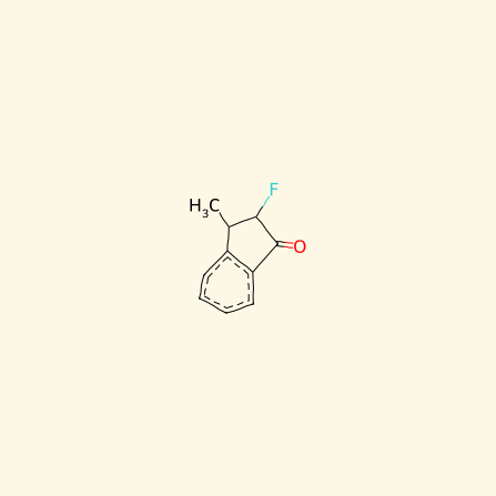 CC1c2ccccc2C(=O)C1F